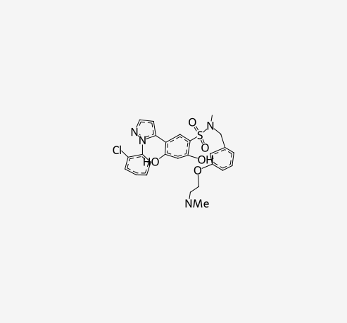 CNCCOc1cccc(CN(C)S(=O)(=O)c2cc(-c3ccnn3-c3ccccc3Cl)c(O)cc2O)c1